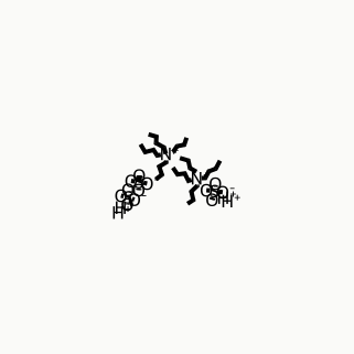 CCCC[N+](CCCC)(CCCC)CCCC.CCCC[N+](CCCC)(CCCC)CCCC.O=S(=O)([O-])[O-].O=S(=O)([O-])[O-].O=S(=O)([O-])[O-].[H+].[H+].[H+].[H+]